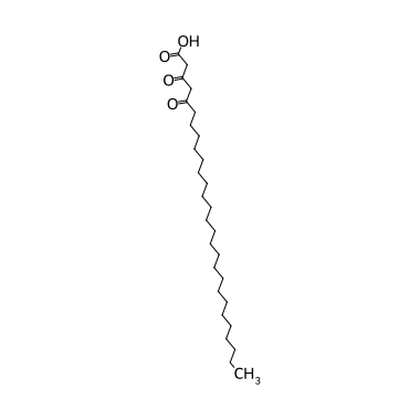 CCCCCCCCCCCCCCCCCCCCCCCC(=O)CC(=O)CC(=O)O